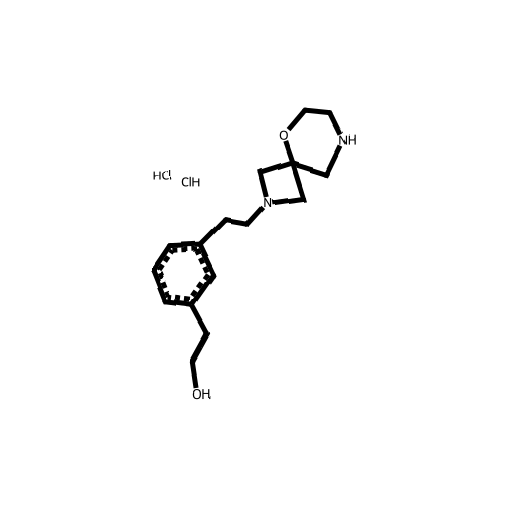 Cl.Cl.OCCc1cccc(CCN2CC3(CNCCO3)C2)c1